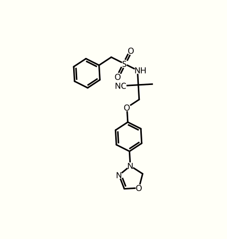 CC(C#N)(COc1ccc(N2COC=N2)cc1)NS(=O)(=O)Cc1ccccc1